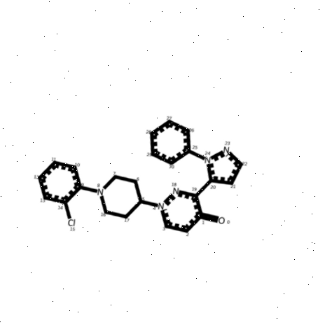 O=c1ccn(C2CCN(c3ccccc3Cl)CC2)nc1-c1ccnn1-c1ccccc1